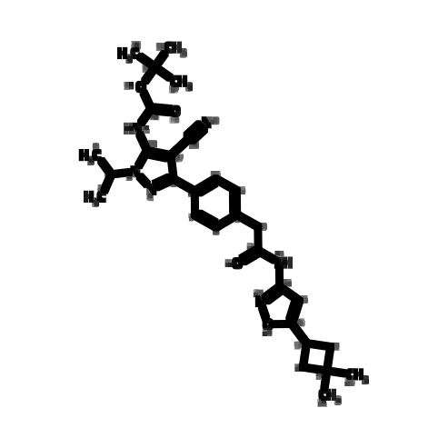 CC(C)n1nc(-c2ccc(CC(=O)Nc3cc(C4CC(C)(C)C4)on3)cc2)c(C#N)c1NC(=O)OC(C)(C)C